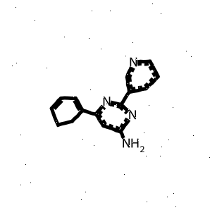 Nc1cc(C2=CC=CCC2)nc(-c2cccnc2)n1